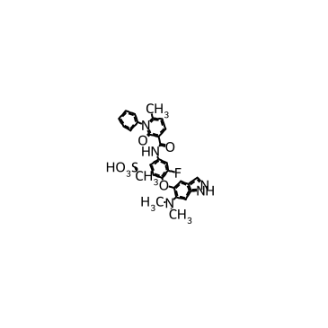 CS(=O)(=O)O.Cc1ccc(C(=O)Nc2ccc(Oc3cc4cn[nH]c4cc3N(C)C)c(F)c2)c(=O)n1-c1ccccc1